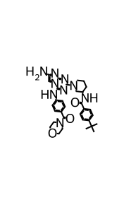 CC(C)(C)c1ccc(C(=O)NC2CCCN(c3nc(Nc4ccc(C(=O)N5CCOCC5)cc4)n4cc(N)nc4n3)C2)cc1